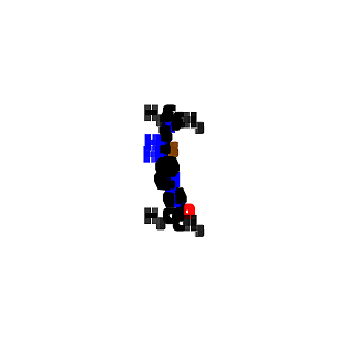 CCN(CC)CCNC(=S)Nc1ccc2nc(N3CCN(C(=O)C(C)C)CC3)ccc2c1